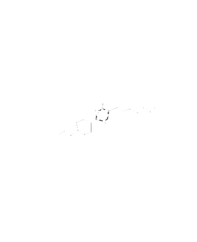 CCCCCCCCc1cnc([C@H]2CC[C@H](CCC)CC2)nc1C